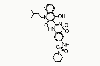 CC(C)CCn1c(=O)c(C2=NS(=O)(=O)c3cc(NS(=O)(=O)N4CCCCC4)ccc3N2)c(O)c2cccnc21